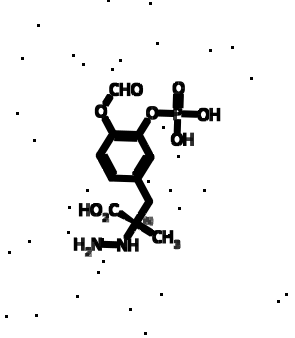 C[C@@](Cc1ccc(OC=O)c(OP(=O)(O)O)c1)(NN)C(=O)O